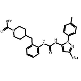 CCCC(=O)N1CCC(Cc2ccccc2NC(=O)Nc2cc(C(C)(C)C)nn2-c2ccc(C)cc2)CC1